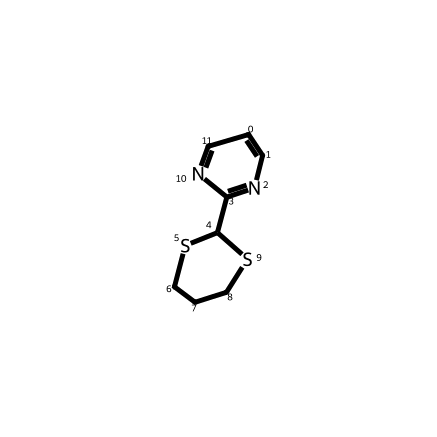 c1cnc(C2SCCCS2)nc1